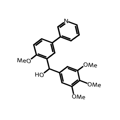 COc1ccc(-c2cccnc2)cc1C(O)c1cc(OC)c(OC)c(OC)c1